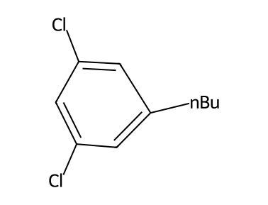 CCCCc1cc(Cl)cc(Cl)c1